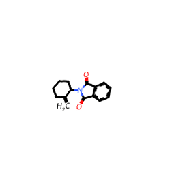 C=C1CCCCC1N1C(=O)c2ccccc2C1=O